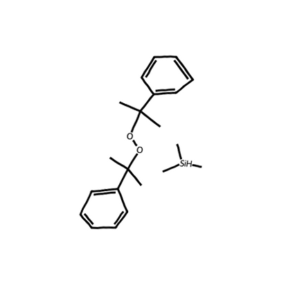 CC(C)(OOC(C)(C)c1ccccc1)c1ccccc1.C[SiH](C)C